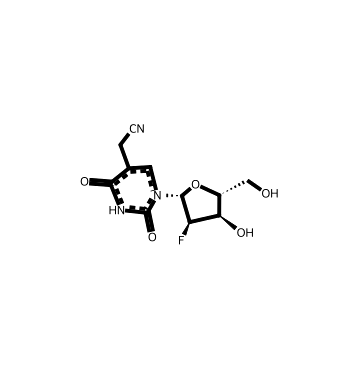 N#CCc1cn([C@@H]2O[C@H](CO)[C@@H](O)[C@H]2F)c(=O)[nH]c1=O